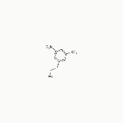 CC(=O)CCc1cc([N+](=O)[O-])cc(C(F)(F)F)c1